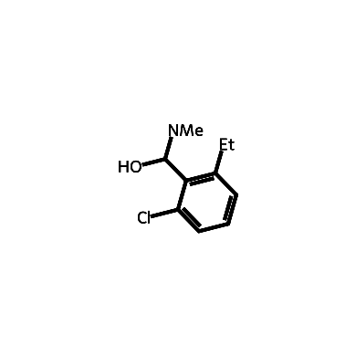 CCc1cccc(Cl)c1C(O)NC